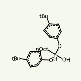 CCCCCCCC[PH](O)(Oc1ccc(C(C)(C)C)cc1)Oc1ccc(C(C)(C)C)cc1